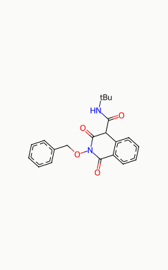 CC(C)(C)NC(=O)C1C(=O)N(OCc2ccccc2)C(=O)c2ccccc21